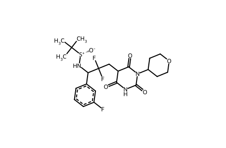 CC(C)(C)[S@+]([O-])NC(c1cccc(F)c1)C(F)(F)CC1C(=O)NC(=O)N(C2CCOCC2)C1=O